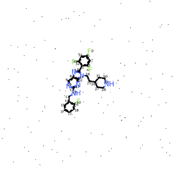 Fc1cc(F)c(-c2nc3cnc(NCc4ccccc4F)nc3n2CCC2CCNCC2)c(F)c1